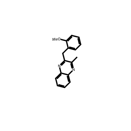 COc1ccccc1Cc1nc2ccccc2nc1C